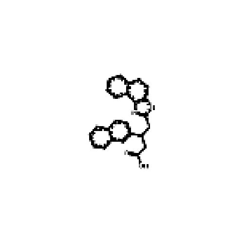 O=C(O)CC(Cc1nc2ccc3ccccc3c2[nH]1)c1ccc2ccccc2c1